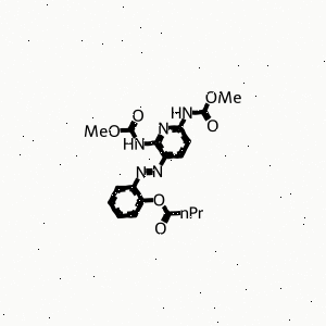 CCCC(=O)Oc1ccccc1/N=N/c1ccc(NC(=O)OC)nc1NC(=O)OC